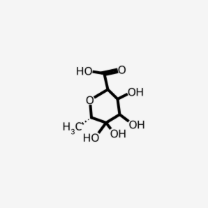 C[C@@H]1OC(C(=O)O)C(O)C(O)C1(O)O